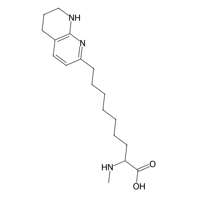 CNC(CCCCCCCc1ccc2c(n1)NCCC2)C(=O)O